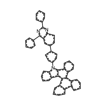 c1ccc(-c2nc(-c3ccccc3)c3cc(-c4ccc(-n5c6ccccc6c6c7c8ccccc8c8ccccc8c7c7ccccc7c65)cc4)ccc3n2)cc1